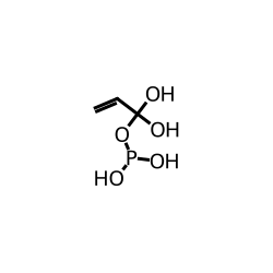 C=CC(O)(O)OP(O)O